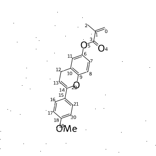 C=C(C)C(=O)Oc1ccc2c(c1)CC=C(c1ccc(OC)cc1)O2